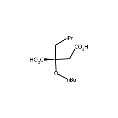 CCCCO[C@@](CC(=O)O)(CC(C)C)C(=O)O